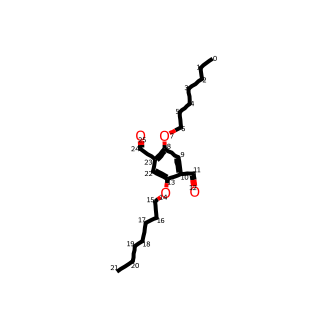 CCCCCCCOc1cc(C=O)c(OCCCCCCC)cc1C=O